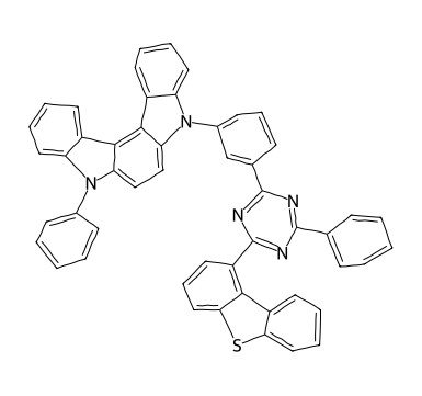 c1ccc(-c2nc(-c3cccc(-n4c5ccccc5c5c6c7ccccc7n(-c7ccccc7)c6ccc54)c3)nc(-c3cccc4sc5ccccc5c34)n2)cc1